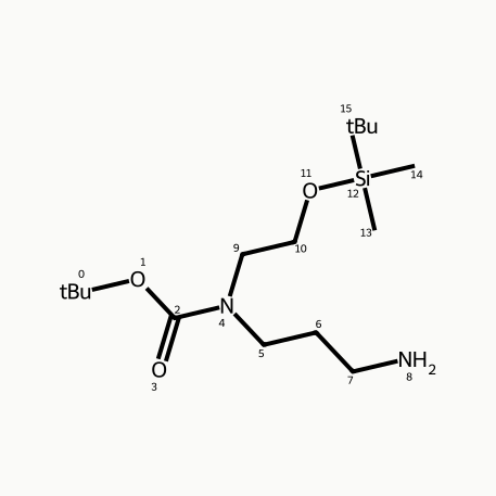 CC(C)(C)OC(=O)N(CCCN)CCO[Si](C)(C)C(C)(C)C